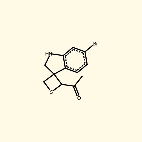 CC(=O)C1SCC12CNc1cc(Br)ccc12